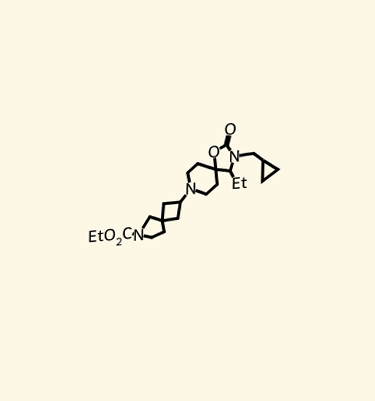 CCOC(=O)N1CCC2(CC(N3CCC4(CC3)OC(=O)N(CC3CC3)C4CC)C2)C1